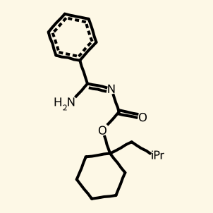 CC(C)CC1(OC(=O)N=C(N)c2ccccc2)CCCCC1